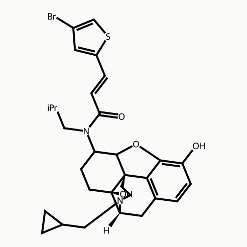 CC(C)CN(C(=O)/C=C/c1cc(Br)cs1)C1CC[C@@]2(O)[C@H]3Cc4ccc(O)c5c4[C@@]2(CCN3CC2CC2)C1O5